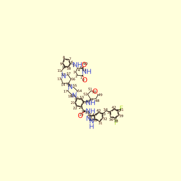 O=C1CCC(Nc2cccc(CN3CCC(N4CCN(c5ccc(C(=O)Nc6n[nH]c7ccc(Cc8cc(F)cc(F)c8)cc67)c(NC6CCOCC6)c5)CC4)CC3)c2)C(=O)N1